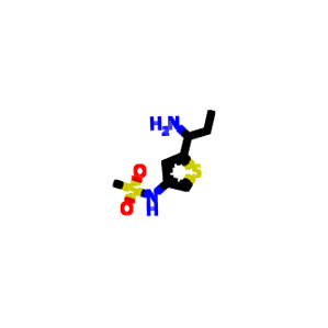 CCC(N)c1cc(NS(C)(=O)=O)cs1